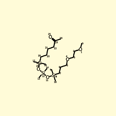 COCCOCCC[Si](C)(C)O[Si](C)(C)O[Si](C)(C)CCCCC(C)=O